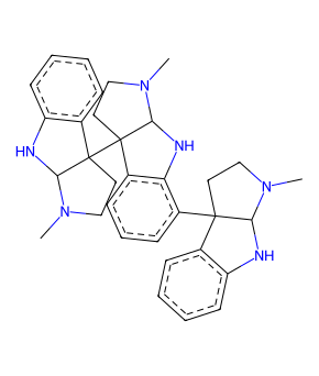 CN1CCC2(c3cccc4c3NC3N(C)CCC43C34CCN(C)C3Nc3ccccc34)c3ccccc3NC12